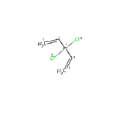 C=[CH][Pt]([Cl])([Cl])[CH]=C